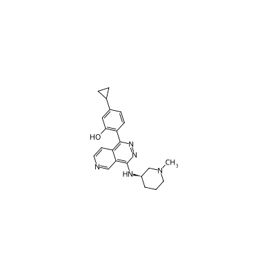 CN1CCC[C@@H](Nc2nnc(-c3ccc(C4CC4)cc3O)c3ccncc23)C1